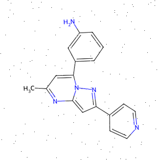 Cc1cc(-c2cccc(N)c2)n2nc(-c3ccncc3)cc2n1